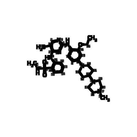 Bc1cnc(Nc2ccc(N3CCC(N4CCN(C)CC4)CC3)cc2OCC)nc1Nc1ccccc1S(=O)(=O)NC